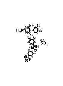 Nc1nc(N)c(-c2ccc(Cl)c(Cl)c2)c(COc2ccc(NS(=O)(=O)c3ccc(S(=O)(=O)F)cc3)cc2Cl)n1.O=S(=O)(O)O